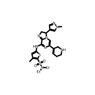 CCN(CC)S(=O)(=O)c1sc(NC2=NC(C3=CCCNC3)=CN3C2=NCC3c2cnn(C)c2)cc1C